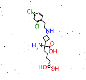 NC(CCCCB(O)O)(C(=O)O)[C@H]1C[C@@H](NCCc2ccc(Cl)cc2Cl)C1